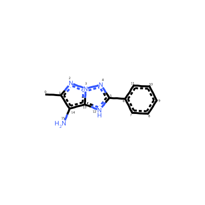 Cc1nn2nc(-c3ccccc3)[nH]c2c1N